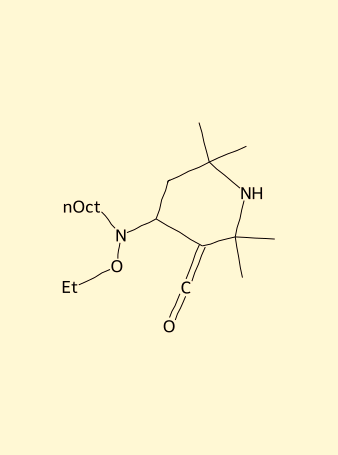 CCCCCCCCN(OCC)C1CC(C)(C)NC(C)(C)C1=C=O